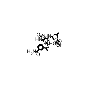 CC(C)C[C@H](COP(=O)(O)O)Nc1nc(SC(C)c2cccc(C(N)=O)c2)nc2[nH]c(=O)sc12